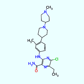 CCc1nc(C(N)=O)c(Nc2ccc(C3CCN(C4CCN(C)CC4)CC3)c(C)c2)nc1Cl